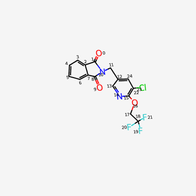 O=C1c2ccccc2C(=O)N1Cc1cnc(OCC(F)(F)F)c(Cl)c1